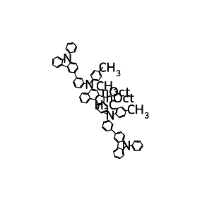 CCCCCCCCC1(CCCCCCCC)c2cc(N(c3cccc(-c4ccc5c(c4)c4ccccc4n5-c4ccccc4)c3)c3ccc(C)cc3C)ccc2-c2c1cc(N(c1cccc(-c3ccc4c(c3)c3ccccc3n4-c3ccccc3)c1)c1ccc(C)cc1C)c1ccccc21